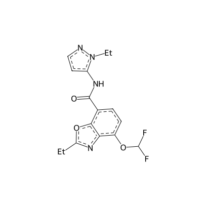 CCc1nc2c(OC(F)F)ccc(C(=O)Nc3ccnn3CC)c2o1